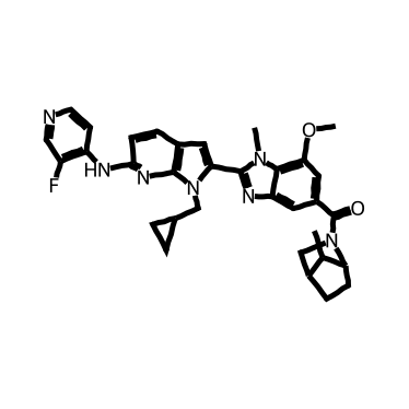 COc1cc(C(=O)N2CC3CCC2C3C)cc2nc(-c3cc4ccc(Nc5ccncc5F)nc4n3CC3CC3)n(C)c12